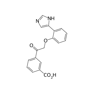 O=C(O)c1cccc(C(=O)COc2ccccc2-c2cnc[nH]2)c1